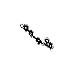 Cc1cc(C#Cc2ccc(-c3ccc(Cl)cc3)cn2)ccc1OCCN(CC1CCCC1)C1CCCCC1